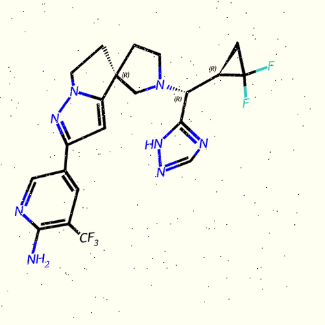 Nc1ncc(-c2cc3n(n2)CC[C@@]32CCN([C@@H](c3ncn[nH]3)[C@H]3CC3(F)F)C2)cc1C(F)(F)F